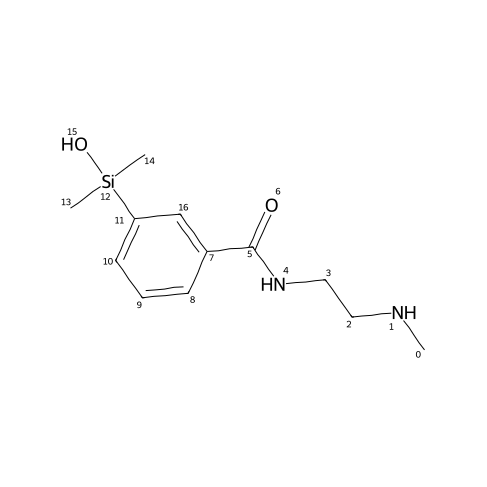 CNCCNC(=O)c1cccc([Si](C)(C)O)c1